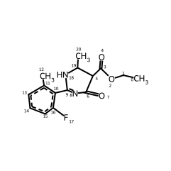 CCOC(=O)C1C(=O)N=C(c2c(C)cccc2F)NC1C